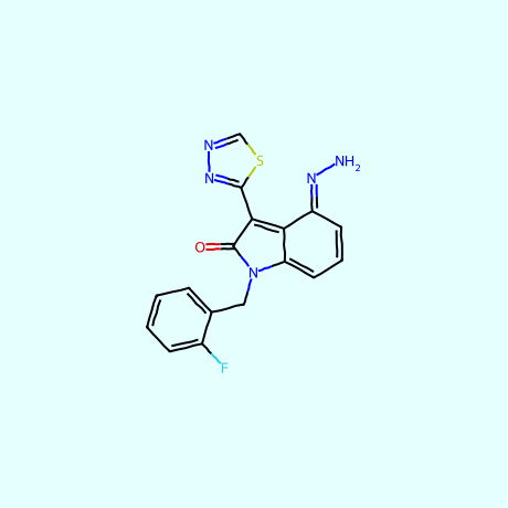 NN=C1C=CC=C2C1=C(c1nncs1)C(=O)N2Cc1ccccc1F